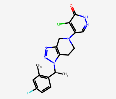 C[C@@H](c1ccc(F)cc1C(F)(F)F)n1nnc2c1CCN(c1cn[nH]c(=O)c1Cl)C2